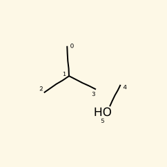 CC(C)C.CO